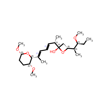 CC[C@H](OC)[C@@H](C)[C@H]1C[C@@](O)([C@@H](C)/C=C/C=C(\C)[C@H]2O[C@@H](OC)CC[C@H]2OC)O1